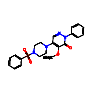 CCCCCCCOc1c(N2CCN(S(=O)(=O)c3ccccc3)CC2)cnn(-c2ccccc2)c1=O